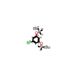 CC(C)(C)[Si](C)(C)Oc1cc(Br)cc(O[Si](C)(C)C(C)(C)C)c1